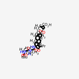 CC(C)C1=C2[C@H]3CC[C@@H]4[C@@]5(C)CC[C@H](OC(=O)[C@H]6C[C@@H](C(=O)O)C6(C)C)C(C)(C)[C@@H]5CC[C@@]4(C)[C@]3(C)CC[C@@]2(NC(=O)C(C)(C)NC(=O)C(C)(C)NC(=O)OC(C)(C)C)CC1=O